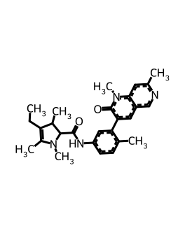 CCC1=C(C)N(C)C(C(=O)Nc2ccc(C)c(-c3cc4cnc(C)cc4n(C)c3=O)c2)C1C